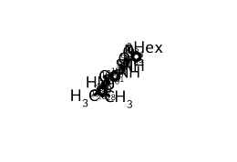 CCCCCCOc1ccccc1C(=O)NC(=S)Nc1ccc(S(=O)(=O)Nc2cc(C)cc(C)c2)cc1